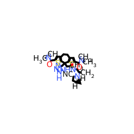 C=C(CN[C@@H](C)CC1(c2nn[nH]n2)c2sc(C(=O)N(C)C)cc2CCc2cc(C(=O)N(C)C)sc21)N1C(C#N)C[C@@H]2C[C@@H]21